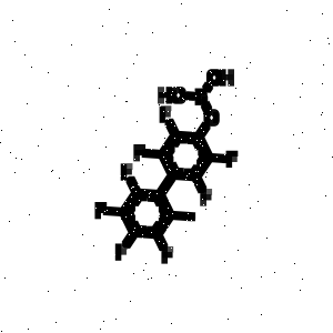 Cc1c(F)c(F)c(F)c(F)c1-c1c(F)c(F)c(OB(O)O)c(F)c1F